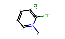 C[n+]1ccccc1Cl.[Cl-]